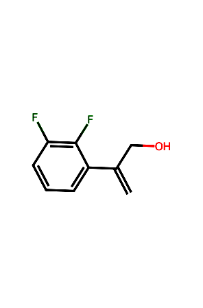 C=C(CO)c1cccc(F)c1F